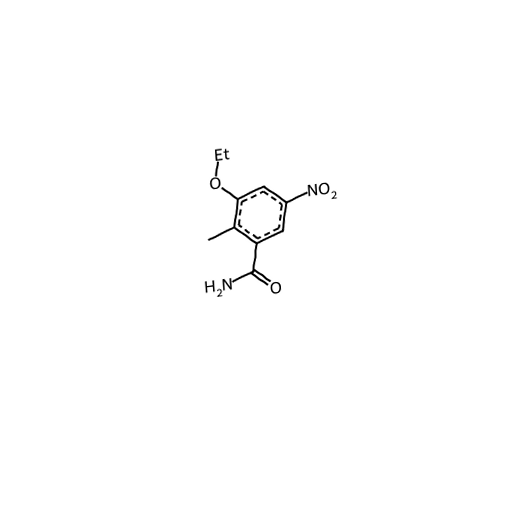 CCOc1cc([N+](=O)[O-])cc(C(N)=O)c1C